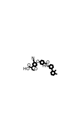 Cc1cccc(-c2cccc(NC(=O)c3ccc(Oc4cc5c(cc4C#N)C(C(=O)O)CCO5)cc3)c2)c1C